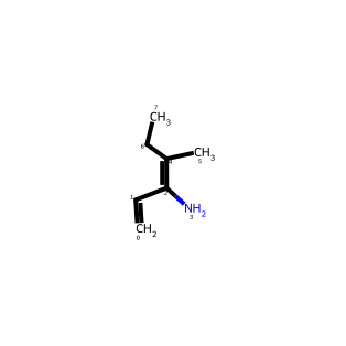 C=CC(N)=C(C)CC